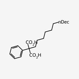 CCCCCCCCCCCCCCCCC(C(=O)O)(C(=O)O)c1ccccc1